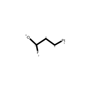 [O]C(F)C[CH2][Pt]